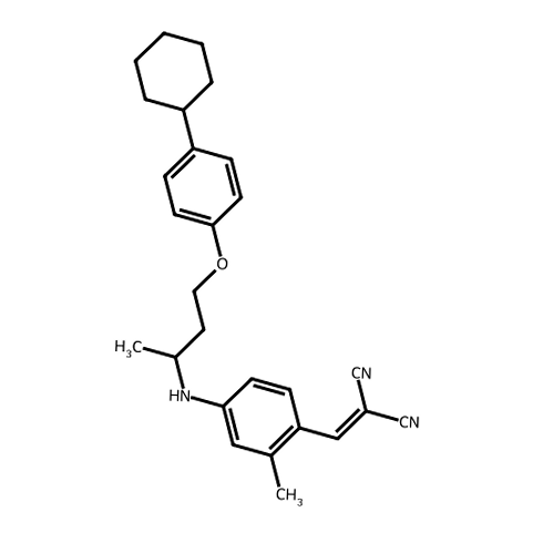 Cc1cc(NC(C)CCOc2ccc(C3CCCCC3)cc2)ccc1C=C(C#N)C#N